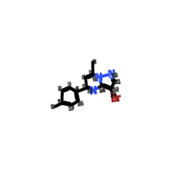 Cc1ccc(-c2cc(C)n3ncc(Br)c3n2)cc1